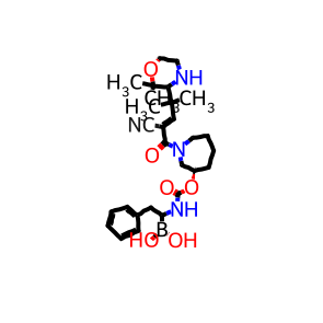 CC(C)(C=C(C#N)C(=O)N1CCCC[C@@H](OC(=O)NC(Cc2ccccc2)B(O)O)C1)C1NCCOC1(C)C